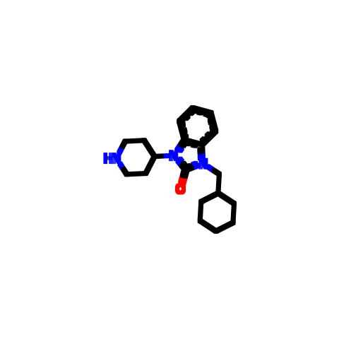 O=c1n(CC2CCCCC2)c2ccccc2n1C1CCNCC1